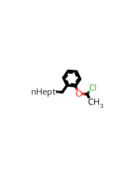 CCCCCCCCc1ccccc1OC(C)Cl